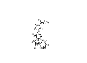 C=C(CCC)C1=NCC(c2ncc(C(=C)N(C)c3cccnc3)n2C)=C1